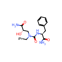 CC(C)CN(C[C@H](O)C(N)=O)C(=O)N[C@@H](Cc1ccccc1)C(N)=O